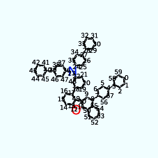 c1ccc(-c2ccc(-c3cc4c(oc5cccc(-c6cccc(N(c7ccc(-c8ccccc8)cc7)c7ccc(-c8ccccc8)cc7)c6)c54)c4ccccc34)cc2)cc1